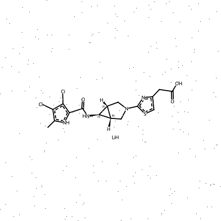 Cc1[nH]c(C(=O)N[C@H]2[C@@H]3CN(c4nc(CC(=O)O)cs4)C[C@@H]32)c(Cl)c1Cl.[LiH]